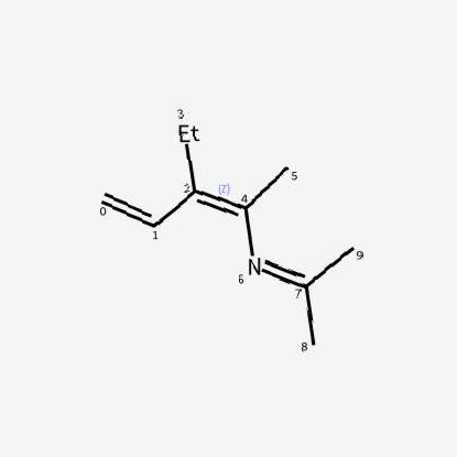 C=C/C(CC)=C(/C)N=C(C)C